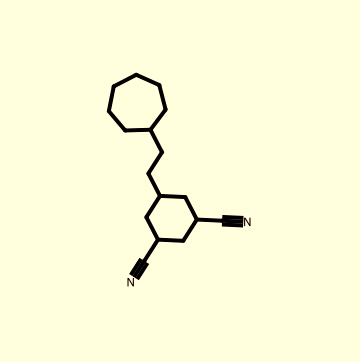 N#CC1CC(C#N)CC(CCC2CCCCCC2)C1